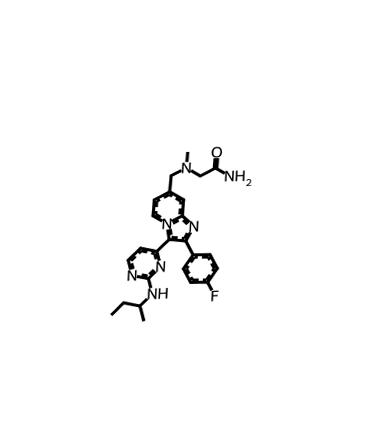 CCC(C)Nc1nccc(-c2c(-c3ccc(F)cc3)nc3cc(CN(C)CC(N)=O)ccn23)n1